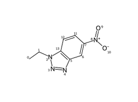 CCn1nnc2cc([N+](=O)[O-])ccc21